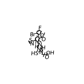 CCOC(=O)C1=C(CN2CCN3C(S)N(CC(C)(C)C(=O)O)C[C@@H]3C2)NC(c2nccs2)=C[C@H]1c1ccc(F)cc1Br